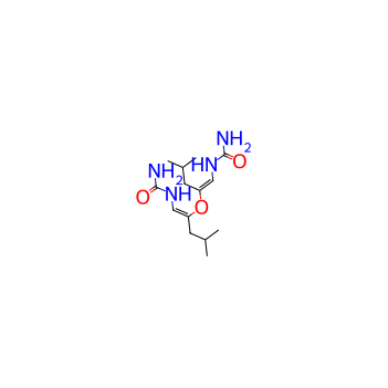 CC(C)CC(=CNC(N)=O)OC(=CNC(N)=O)CC(C)C